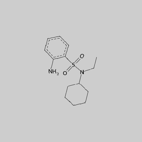 CCN(C1CCCCC1)S(=O)(=O)c1ccccc1N